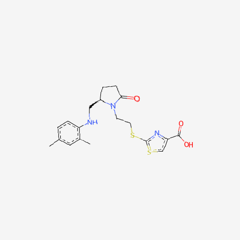 Cc1ccc(NC[C@H]2CCC(=O)N2CCSc2nc(C(=O)O)cs2)c(C)c1